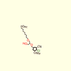 CCCCCCCCCCCCCCCCCCOCC(CO)OCc1cc(C#N)c(Cl)c(OC)c1